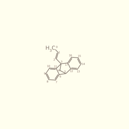 CC=CC12CC(c3ccccc31)c1ccccc12